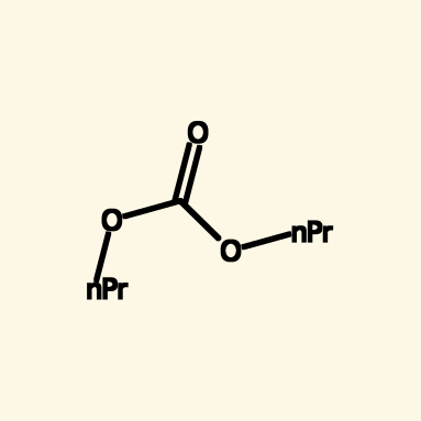 [CH2]CCOC(=O)OCCC